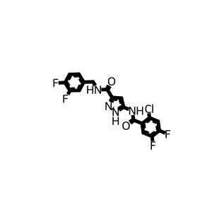 O=C(NCc1ccc(F)c(F)c1)c1cc(NC(=O)c2cc(F)c(F)cc2Cl)[nH]n1